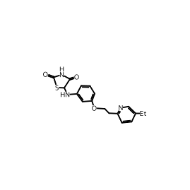 CCc1ccc(CCOc2cccc(NC3SC(=O)NC3=O)c2)nc1